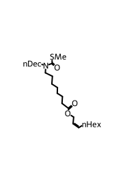 CCCCCC/C=C\COC(=O)CCCCCCCN(CCCCCCCCCC)C(=O)SC